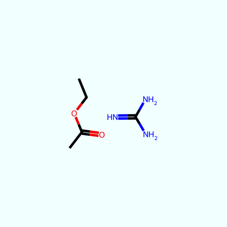 CCOC(C)=O.N=C(N)N